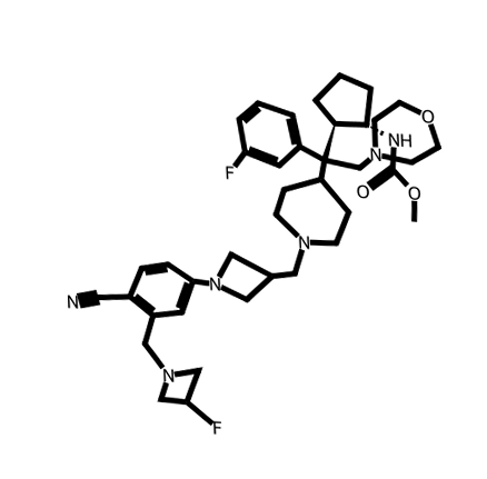 COC(=O)N[C@H]1CCC[C@@H]1C(CN1CCOCC1)(c1cccc(F)c1)C1CCN(CC2CN(c3ccc(C#N)c(CN4CC(F)C4)c3)C2)CC1